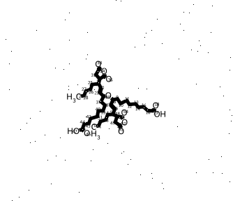 CCCCCC(/C=C/C(CCCCCCCCC(=O)O)OC(/C=C/C(CCCCC)C1CC(=O)OC1=O)CCCCCCCCC(=O)O)C1CC(=O)OC1=O